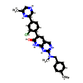 COc1ccc(CN(C)c2ncc3cc(-c4ccc(-c5cncc(C)n5)cc4Cl)c(=O)[nH]c3n2)cc1